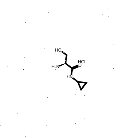 Cl.N[C@@H](CO)C(=O)NC1CC1